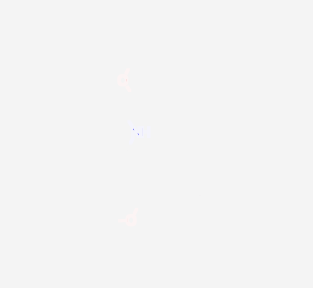 COCCNCc1cc(CI)cc(OC)c1